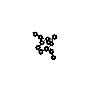 c1ccc(-c2ccc3c(c2)c2cc(-c4ccccc4)ccc2n3-c2ccc3c4c2ccc2c(-n5c6ccc(-c7ccccc7)cc6c6cc(-c7ccccc7)ccc65)ccc(c24)n3-c2ccccc2)cc1